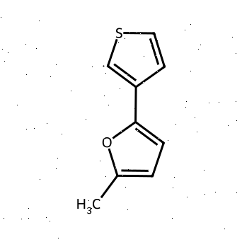 Cc1ccc(-c2[c]scc2)o1